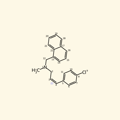 CN(C/C=C\c1ccc(Cl)cc1)Cc1cccc2ccccc12